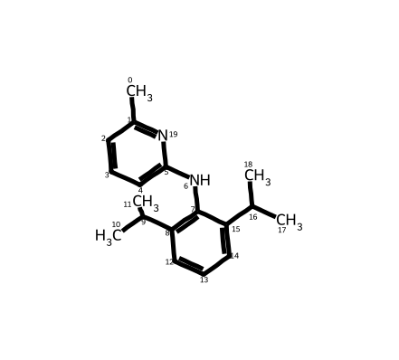 Cc1cccc(Nc2c(C(C)C)cccc2C(C)C)n1